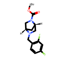 CC(C)(C)OC(=O)N1C[C@@H]2C[C@H]1CN2Cc1ccc(F)cc1F